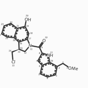 COCc1cccc2cc(C(=O)N3C[C@@H](CCl)c4c3cc(O)c3ccccc43)[nH]c12